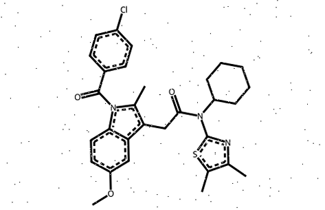 COc1ccc2c(c1)c(CC(=O)N(c1nc(C)c(C)s1)C1CCCCC1)c(C)n2C(=O)c1ccc(Cl)cc1